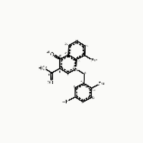 O=C(O)c1cn(Cc2cc(F)ccc2F)c2c(F)cccc2c1=O